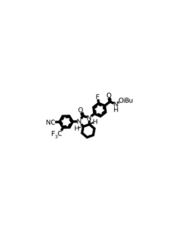 CC(C)CONC(=O)c1ccc(N2C(=O)N(c3ccc(C#N)c(C(F)(F)F)c3)[C@@H]3CCCC[C@H]32)cc1F